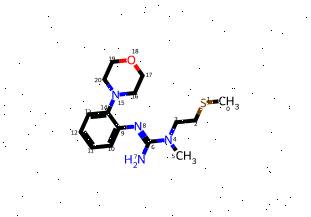 CSCCN(C)/C(N)=N/c1ccccc1N1CCOCC1